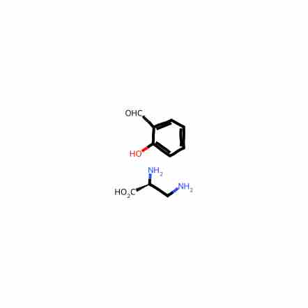 NC[C@H](N)C(=O)O.O=Cc1ccccc1O